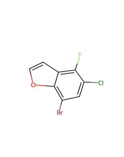 Fc1c(Cl)cc(Br)c2occc12